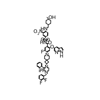 CC(C)c1ccccc1[C@@H]1CN(Cc2cccc(F)c2F)CCN1C1CC2(CCN(c3cc(Oc4cnc5[nH]ccc5c4)c(C(=O)NS(=O)(=O)c4ccc(NCC5CCC(C)(O)CC5)c([N+](=O)[O-])c4)cc3F)CC2)C1